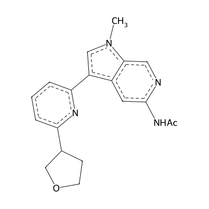 CC(=O)Nc1cc2c(-c3cccc(C4CCOC4)n3)cn(C)c2cn1